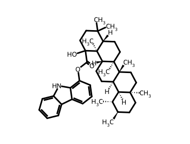 C[C@@H]1[C@H]2[C@H]3CC[C@@H]4[C@]5(C)[C@@H](CC[C@@]4(C)[C@]3(C)CC[C@@]2(C)CC[C@H]1C)C(C)(C)CCC5(O)C(=O)Oc1cccc2c1[nH]c1ccccc12